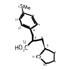 CSc1ccc(C(C[C@H]2CCCO2)C(=O)O)cc1